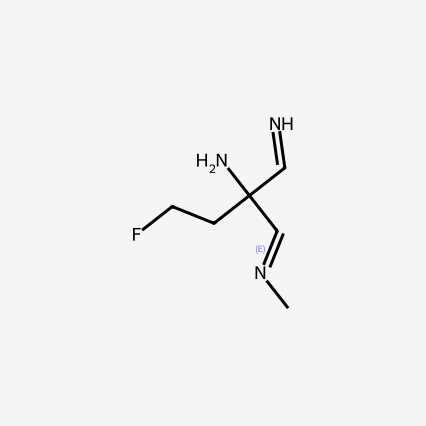 C/N=C/C(N)(C=N)CCF